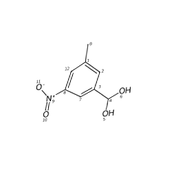 Cc1cc(C(O)O)cc([N+](=O)[O-])c1